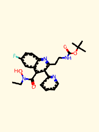 CCN(O)C(=O)c1c(-c2ccccn2)c(CCNC(=O)OC(C)(C)C)nc2ccc(F)cc12